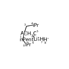 CC(C)[CH2][Al+][CH2]C(C)C.CCCCCC.[H-].[H-].[Li+]